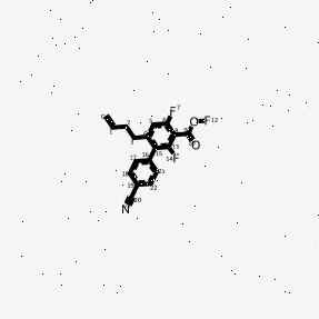 C=CCCc1cc(F)c(C(=O)OF)c(F)c1-c1ccc(C#N)cc1